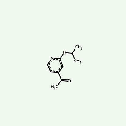 CC(=O)c1ccnc(OC(C)C)c1